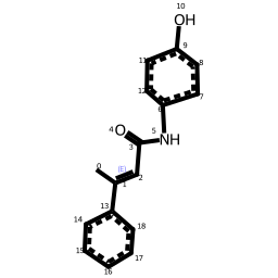 C/C(=C\C(=O)Nc1ccc(O)cc1)c1ccccc1